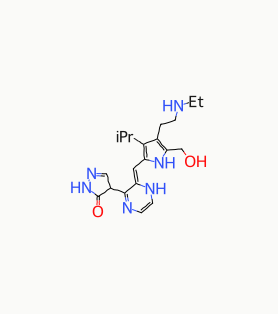 CCNCCc1c(CO)[nH]c(C=C2NC=CN=C2C2C=NNC2=O)c1C(C)C